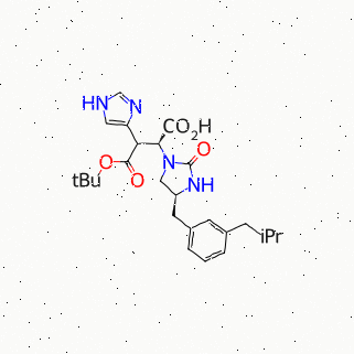 CC(C)Cc1cccc(C[C@H]2CN([C@H](C(=O)O)C(C(=O)OC(C)(C)C)c3c[nH]cn3)C(=O)N2)c1